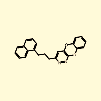 c1ccc2c(c1)Oc1cc(CCCc3cccc4ccccc34)nnc1O2